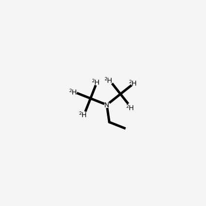 [2H]C([2H])([2H])N(CC)C([2H])([2H])[2H]